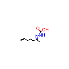 C=CCCCC(C)=NNC(=O)O